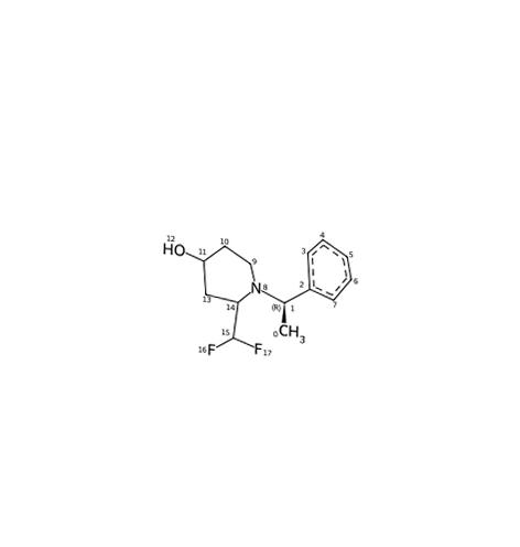 C[C@H](c1ccccc1)N1CCC(O)CC1C(F)F